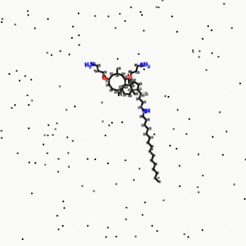 CCCCCCCCCCCCCCCCNCCC[C@@H](C)C1CC[C@H]2C3[C@@H](CCC[C@@H](OCCCN)CC(C)C[C@H]3OCCCN)CCC12C